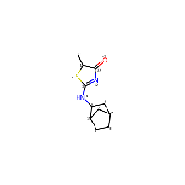 CC1SC(NC2CC3CCC2C3)=NC1=O